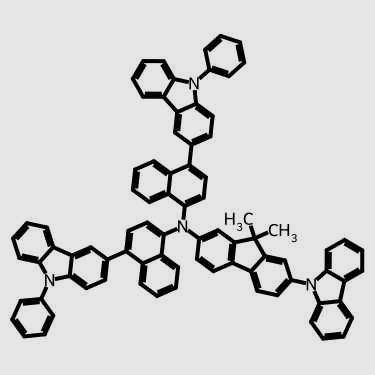 CC1(C)c2cc(N(c3ccc(-c4ccc5c(c4)c4ccccc4n5-c4ccccc4)c4ccccc34)c3ccc(-c4ccc5c(c4)c4ccccc4n5-c4ccccc4)c4ccccc34)ccc2-c2ccc(-n3c4ccccc4c4ccccc43)cc21